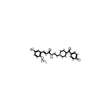 COc1ccc(Br)cc1/C=C/C(=O)NCCN1CCC(C(=O)c2ccc(Cl)cc2)CC1